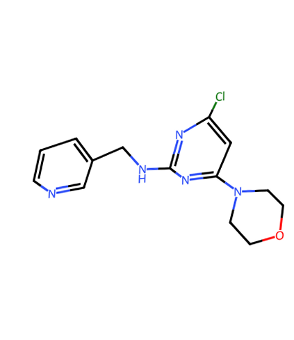 Clc1cc(N2CCOCC2)nc(NCc2cccnc2)n1